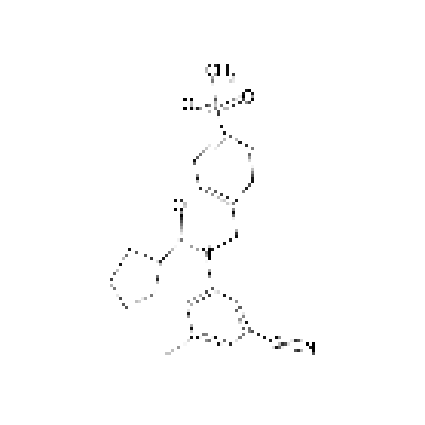 CS(=O)(=O)c1ccc(CN(C(=O)C2CCCC2)c2cc(F)cc(C#N)c2)cc1